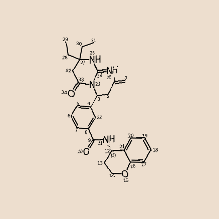 C=CCC(c1cccc(C(=O)N[C@H]2CCOc3ccccc32)c1)N1C(=N)NC(CC)(CC)CC1=O